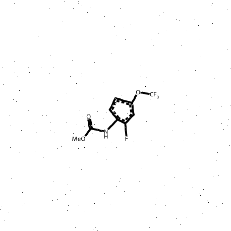 COC(=O)Nc1ccc(OC(F)(F)F)cc1F